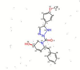 O=C(N1N=CC(c2ccc(OC(F)(F)F)cc2)N1)N1C[C@H](O)C=C[C@@H]1Cc1ccccc1